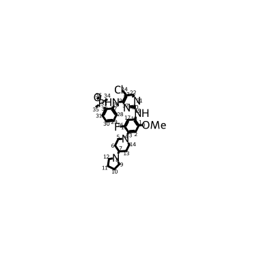 COc1cc(N2CCC(N3CCCC3)CC2)c(F)cc1Nc1ncc(Cl)c(Nc2ccccc2P(C)(C)=O)n1